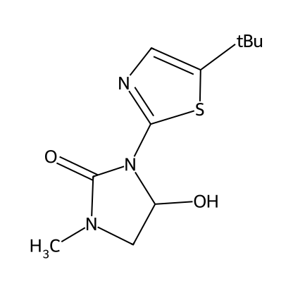 CN1CC(O)N(c2ncc(C(C)(C)C)s2)C1=O